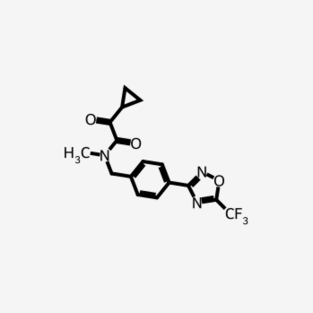 CN(Cc1ccc(-c2noc(C(F)(F)F)n2)cc1)C(=O)C(=O)C1CC1